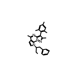 CCC(Cc1ccccc1)n1ccc2c(C)nc3c(-c4c(C)cc(C)cc4C)c(C)nn3c21